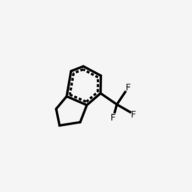 FC(F)(F)c1cccc2c1CCC2